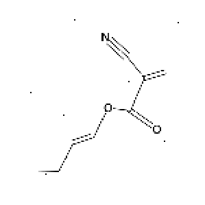 C=C(C#N)C(=O)OC=CCC